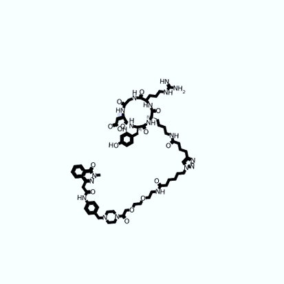 Cn1nc(CC(=O)Nc2ccc(CN3CCN(C(=O)COCCOCCNC(=O)CCCCCn4cc(CCCC(=O)NCCCC[C@@H]5NC(=O)[C@@H](Cc6ccc(O)cc6)NC(=O)/C(=C\C(=O)O)NC(=O)CNC(=O)C(CCCNC(=N)N)NC5=O)nn4)CC3)cc2)c2ccccc2c1=O